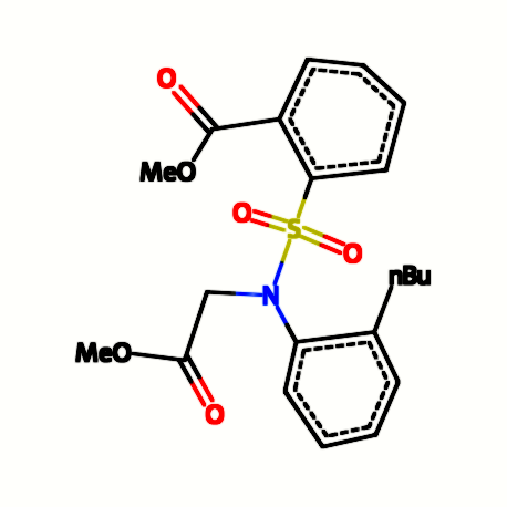 CCCCc1ccccc1N(CC(=O)OC)S(=O)(=O)c1ccccc1C(=O)OC